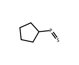 S=PC1CCCC1